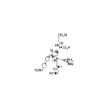 CCCC[C@H](N)CNCC[C@H](NCCNC(=O)CNC(C)=O)C(=O)N[C@H](Cc1ccc(-c2ccc(NC(C)=O)cc2)cc1)C(=O)NCC[C@@H](NC(=O)CCCC(=O)O)C(=O)O